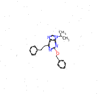 CC(C)n1cnc2c(CCc3ccccc3)nc(OCc3ccccc3)nc21